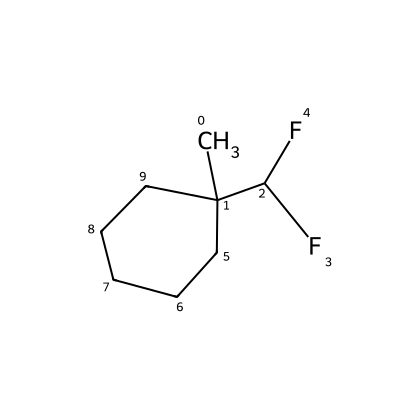 CC1(C(F)F)CCCCC1